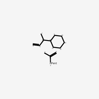 C=C(C)CCCCC.C=CC(C)C1CCCCC1